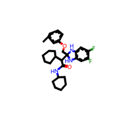 Cc1cccc(OCC2(C(C(=O)NC3CCCCC3)C3CCCCC3)Nc3cc(F)c(F)cc3N2)c1